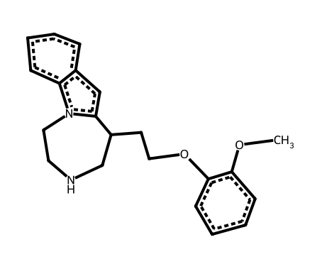 COc1ccccc1OCCC1CNCCn2c1cc1ccccc12